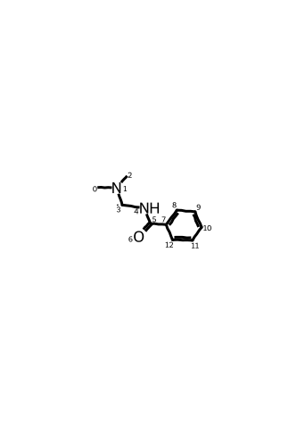 CN(C)[CH]NC(=O)c1ccccc1